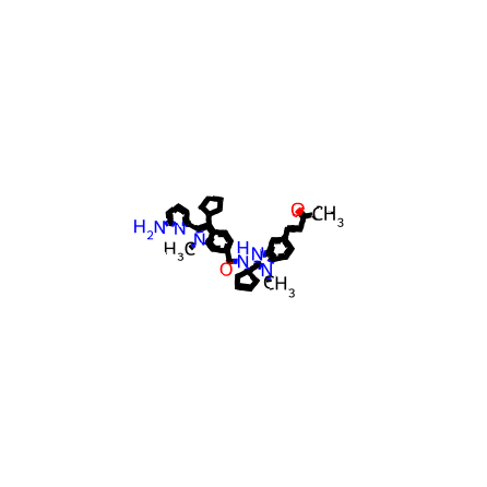 CC(=O)/C=C/c1ccc2c(c1)nc(C1(NC(=O)c3ccc4c(C5CCCC5)c(-c5cccc(N)n5)n(C)c4c3)CC=CC1)n2C